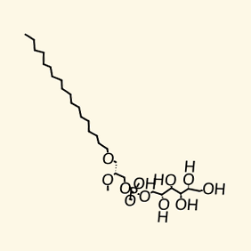 CCCCCCCCCCCCCCCCCCOC[C@H](COP(=O)(O)OC[C@@H](O)[C@@H](O)[C@H](O)[C@H](O)CO)OC